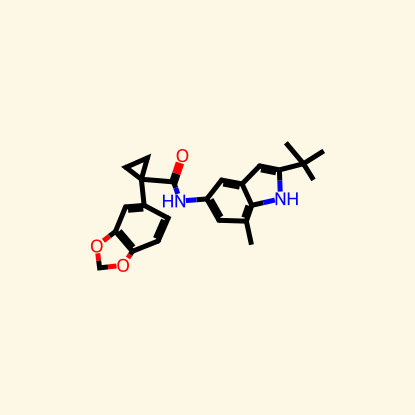 Cc1cc(NC(=O)C2(c3ccc4c(c3)OCO4)CC2)cc2cc(C(C)(C)C)[nH]c12